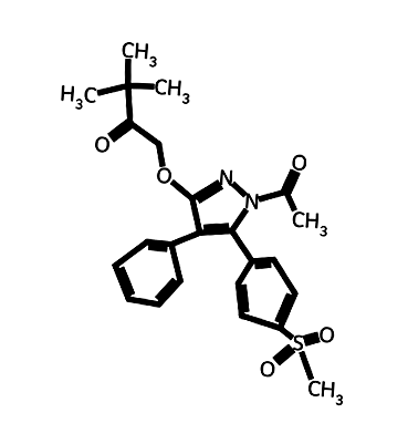 CC(=O)n1nc(OCC(=O)C(C)(C)C)c(-c2ccccc2)c1-c1ccc(S(C)(=O)=O)cc1